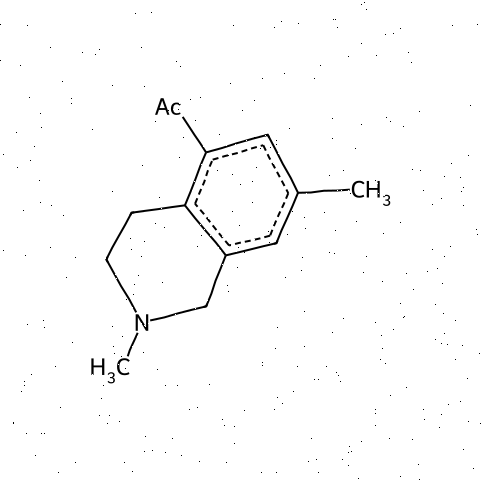 CC(=O)c1cc(C)cc2c1CCN(C)C2